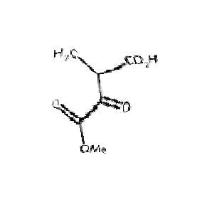 COC(=O)C(=O)C(C)C(=O)O